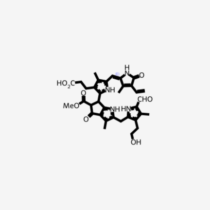 C=CC1=C(C)/C(=C\c2[nH]c(C3c4[nH]c(Cc5[nH]c(C=O)c(C)c5CCO)c(C)c4C(=O)C3C(=O)OC)c(CCC(=O)O)c2C)NC1=O